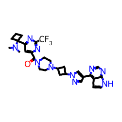 CN(C)C1(c2cc(C(=O)N3CCN(C4CC(n5cc(-c6ncnc7[nH]ccc67)cn5)C4)CC3)nc(C(F)(F)F)n2)CCC1